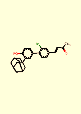 CC(=O)/C=C/c1ccc(-c2ccc(O)c(C34CC5CC(CC(C5)C3)C4)c2)c(Br)c1